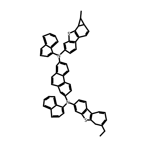 CCC1=CC=Cc2c(sc3cc(N(c4ccc5c(ccc6cc(N(c7ccc8c9c(sc8c7)C7C(C)C7C=C9)c7cccc8ccccc78)ccc65)c4)c4cccc5ccccc45)ccc23)C1